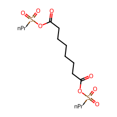 CCCS(=O)(=O)OC(=O)CCCCCCC(=O)OS(=O)(=O)CCC